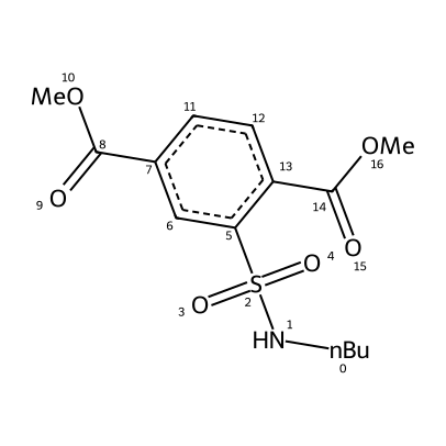 CCCCNS(=O)(=O)c1cc(C(=O)OC)ccc1C(=O)OC